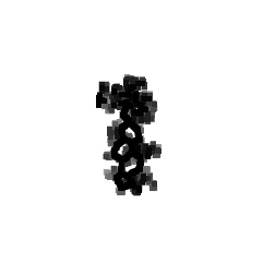 CC(C)(C[C@]1(O)CC[C@]2(C)C3C(CC[C@H]2C1)C1CCC(=O)[C@@]1(C)C[C@@H]3I)[Si](C)(C)O